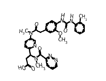 COc1cc(CC(=O)N(C)c2ccc(C(CC(=O)O)N(C)C(=O)c3cccnn3)nc2)ccc1NC(=O)Nc1ccccc1C